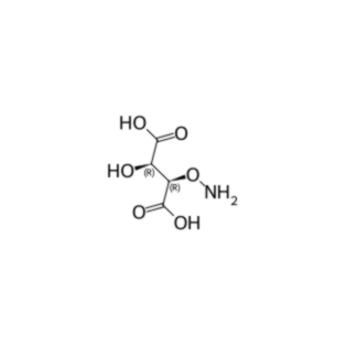 NO[C@@H](C(=O)O)[C@@H](O)C(=O)O